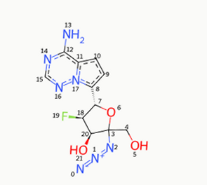 [N-]=[N+]=NC1(CO)O[C@@H](c2ccc3c(N)ncnn23)[C@H](F)[C@@H]1O